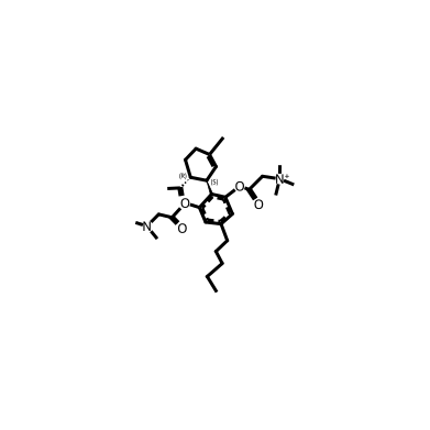 C=C(C)[C@@H]1CCC(C)=C[C@H]1c1c(OC(=O)CN(C)C)cc(CCCCC)cc1OC(=O)C[N+](C)(C)C